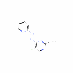 COc1ncc(F)c(NNc2ccccn2)n1